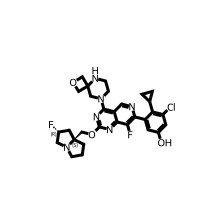 Oc1cc(Cl)c(C2CC2)c(-c2ncc3c(N4CCNC5(COC5)C4)nc(OC[C@@]45CCCN4C[C@H](F)C5)nc3c2F)c1